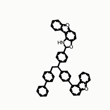 c1ccc(-c2ccc(CC(c3ccc(-c4cccc5oc6ccccc6c45)cc3)c3ccc(C4Nc5c(ccc6oc7ccccc7c56)O4)cc3)cc2)cc1